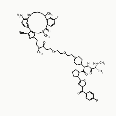 CN[C@H](C)C(=O)N[C@@H](C(=O)N1CCC[C@@H]1C1=NC(C(=O)c2ccc(F)cc2)CS1)C1CCN(CCOCCOCCC(=O)N(C)CCn2nc(C#N)c3c2CN(C)C(=O)c2ccc(F)cc2[C@H](C)CCCNc2nc-3cnc2N)CC1